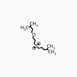 CC(C)CCCS(=O)(=O)CCCOCCC(C)C